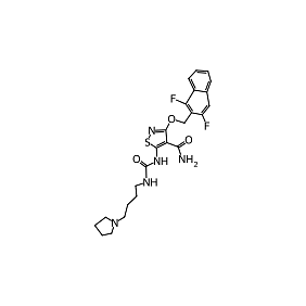 NC(=O)c1c(OCc2c(F)cc3ccccc3c2F)nsc1NC(=O)NCCCCN1CCCC1